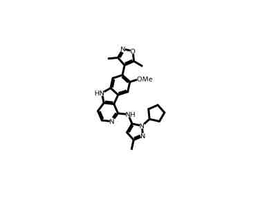 COc1cc2c(cc1-c1c(C)noc1C)[nH]c1ccnc(Nc3cc(C)nn3C3CCCC3)c12